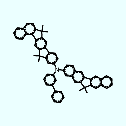 CC1(C)c2cc(N(c3cccc(-c4ccccc4)c3)c3ccc4cc5c(cc4c3)C(C)(C)c3cc4ccccc4cc3-5)ccc2-c2cc3c(cc21)-c1c(ccc2ccccc12)C3(C)C